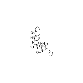 CC[C@H](Nc1nc(OC)nc(NNC(=O)[C@H](CC2CCCC2)CN(O)C=O)c1F)C(=O)N1CCCC1